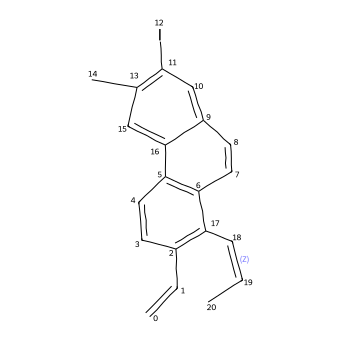 C=Cc1ccc2c(ccc3cc(I)c(C)cc32)c1/C=C\C